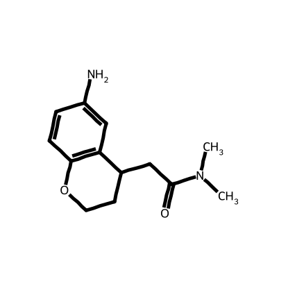 CN(C)C(=O)CC1CCOc2ccc(N)cc21